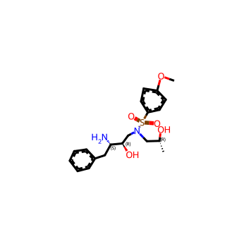 COc1ccc(S(=O)(=O)N(C[C@@H](O)[C@@H](N)Cc2ccccc2)C[C@@H](C)O)cc1